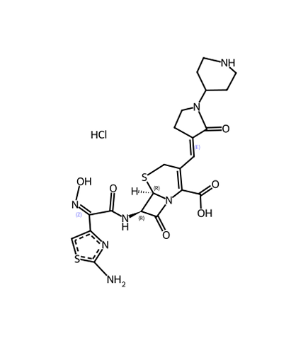 Cl.Nc1nc(/C(=N/O)C(=O)N[C@@H]2C(=O)N3C(C(=O)O)=C(/C=C4\CCN(C5CCNCC5)C4=O)CS[C@H]23)cs1